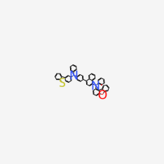 c1ccc(N(c2ccc(-c3ccc(N(c4ccccc4)c4cccc5oc6ccccc6c45)c4ccccc34)cc2)c2ccc3sc4ccccc4c3c2)cc1